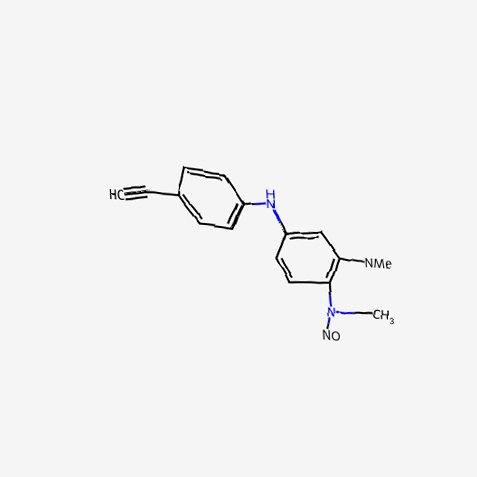 C#Cc1ccc(Nc2ccc(N(C)N=O)c(NC)c2)cc1